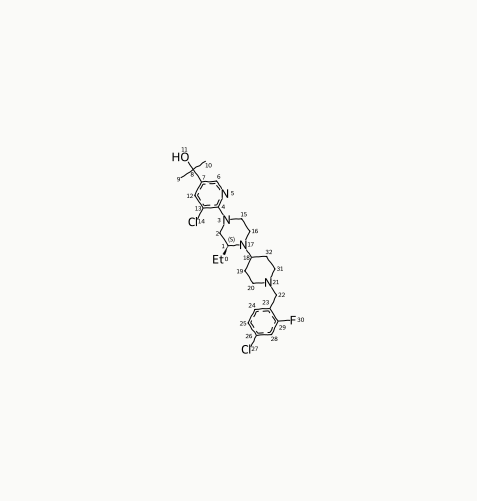 CC[C@H]1CN(c2ncc(C(C)(C)O)cc2Cl)CCN1C1CCN(Cc2ccc(Cl)cc2F)CC1